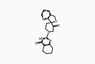 O=C1CN(c2nc3c(c(=O)[nH]2)CCCC3)CCC12OCc1cccnc12